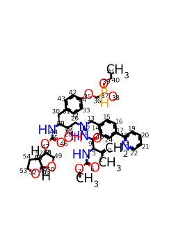 C=C(C)C(NC(=O)OC)C(=O)NN(Cc1ccc(-c2ccccn2)cc1)C[C@H](O)[C@H](Cc1ccc(OC[PH](=O)OCC)cc1)NC(=O)O[C@H]1CO[C@H]2OCC[C@H]21